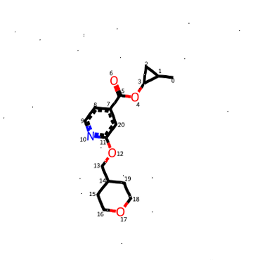 CC1CC1OC(=O)c1ccnc(OCC2CCOCC2)c1